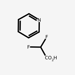 O=C(O)C(F)F.c1ccncc1